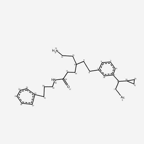 CC(=O)CC(c1cccc(CCC(CCN)CCC(=O)NCCCc2ccccc2)c1)C1CC1